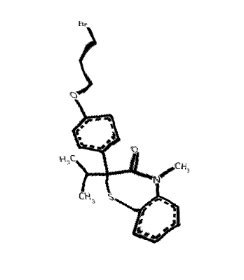 CC(C)C1(c2ccc(OCCCBr)cc2)Sc2ccccc2N(C)C1=O